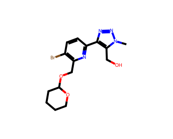 Cn1nnc(-c2ccc(Br)c(COC3CCCCO3)n2)c1CO